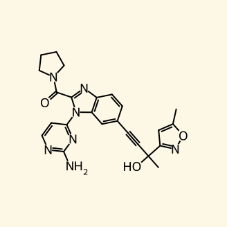 Cc1cc(C(C)(O)C#Cc2ccc3nc(C(=O)N4CCCC4)n(-c4ccnc(N)n4)c3c2)no1